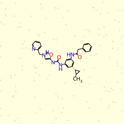 C[C@@H]1C[C@H]1c1cc(NC(=O)Cc2ccccc2)cc(NC(=O)[N-]c2c[n+](Cc3ccccn3)no2)c1